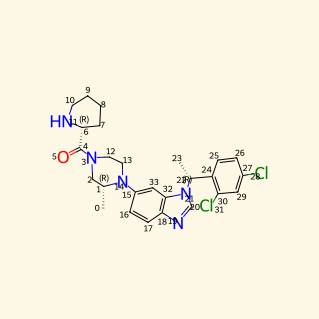 C[C@@H]1CN(C(=O)[C@H]2CCCCN2)CCN1c1ccc2ncn([C@H](C)c3ccc(Cl)cc3Cl)c2c1